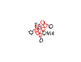 CCC(C(=O)OCc1ccccc1)C1OC(OC)C(C(=O)OCc2ccccc2)C1C(=O)OCc1ccccc1